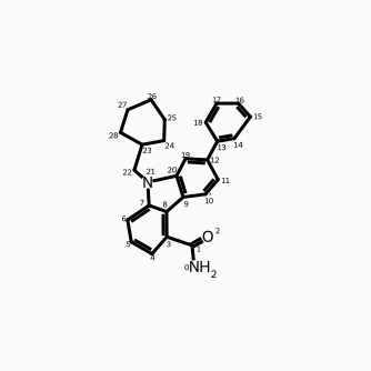 NC(=O)c1cccc2c1c1[c]cc(-c3ccccc3)cc1n2CC1CCCCC1